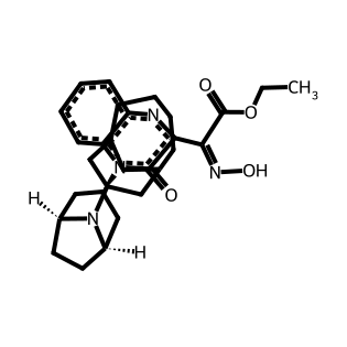 CCOC(=O)/C(=N\O)c1nc2ccccc2n([C@H]2C[C@H]3CC[C@@H](C2)N3C2CC3CCCCC(C3)C2)c1=O